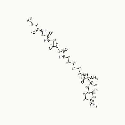 CC(=O)SCC(=O)NCC(=O)NCC(=O)NCC(=O)NCCCCCCNC(=O)[C@@H](C)c1ccc2cc(C)ccc2c1